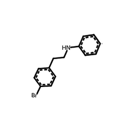 Brc1ccc(CCNc2cc[c]cc2)cc1